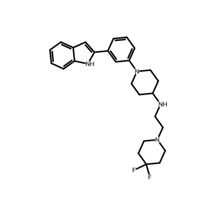 FC1(F)CCN(CCNC2CCN(c3cccc(-c4cc5ccccc5[nH]4)c3)CC2)CC1